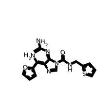 C=C(N)/N=C1\C(=C(/N)c2ccco2)N=CN1C(=O)NCc1cccs1